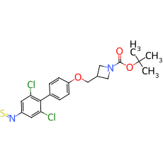 CC(C)(C)OC(=O)N1CC(COc2ccc(-c3c(Cl)cc(N=S)cc3Cl)cc2)C1